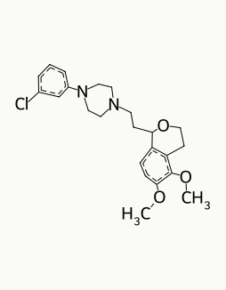 COc1ccc2c(c1OC)CCOC2CCN1CCN(c2cccc(Cl)c2)CC1